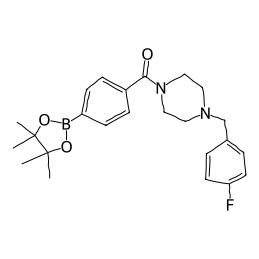 CC1(C)OB(c2ccc(C(=O)N3CCN(Cc4ccc(F)cc4)CC3)cc2)OC1(C)C